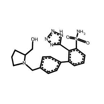 NS(=O)(=O)c1cccc(-c2ccc(CN3CCCC3CO)cc2)c1-c1nnn[nH]1